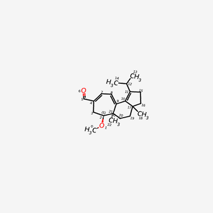 CO[C@H]1CC(C=O)=CC=C2C3=C(C(C)C)CCC3(C)CC[C@]21C